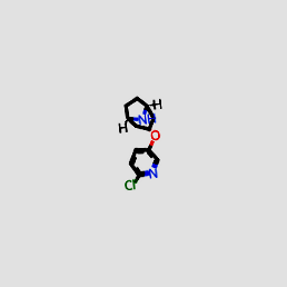 Clc1ccc(O[C@H]2C[C@H]3CC[C@@H](C2)N3)cn1